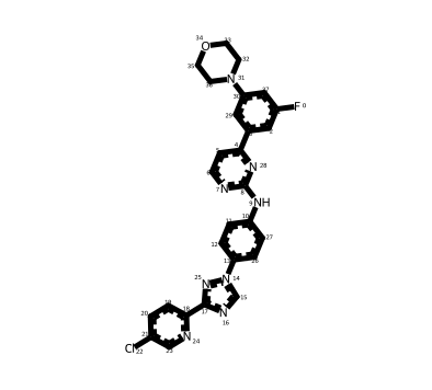 Fc1cc(-c2ccnc(Nc3ccc(-n4cnc(-c5ccc(Cl)cn5)n4)cc3)n2)cc(N2CCOCC2)c1